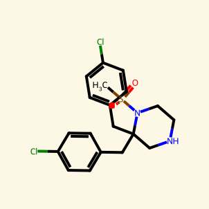 CS(=O)(=O)N1CCNCC1(Cc1ccc(Cl)cc1)Cc1ccc(Cl)cc1